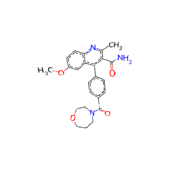 COc1ccc2nc(C)c(C(N)=O)c(-c3ccc(C(=O)N4CCCOCC4)cc3)c2c1